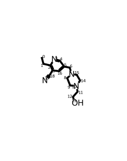 CCc1ncc(CN2CCN(CCO)CC2)cc1C#N